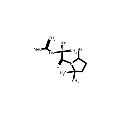 C=C(N[C@](N)(C(=O)N1C(C(C)C)CCC1(C)C)C(C)C)OC